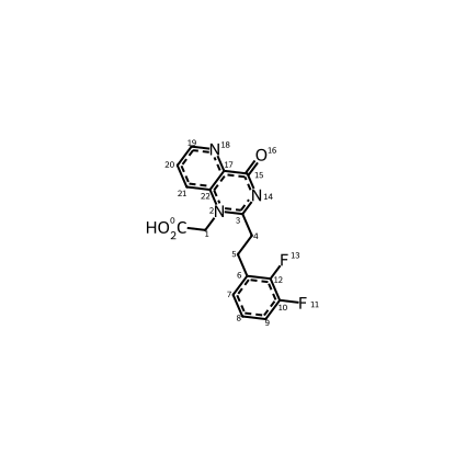 O=C(O)Cn1c(CCc2cccc(F)c2F)nc(=O)c2ncccc21